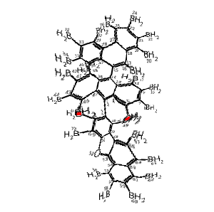 Bc1c(-c2c3c(B)c(B)c(B)c(B)c3c(-c3c(B)c4c(B)c(B)c(B)c(B)c4c4c(B)c(B)c(B)c(B)c34)c3c(B)c(B)c(B)c(B)c23)c(B)c2c(oc3c4c(B)c(B)c(B)c(B)c4c(B)c(B)c32)c1B